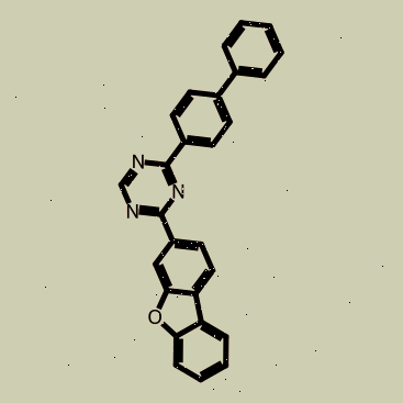 c1ccc(-c2ccc(-c3ncnc(-c4ccc5c(c4)oc4ccccc45)n3)cc2)cc1